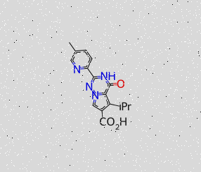 Cc1ccc(-c2nn3cc(C(=O)O)c(C(C)C)c3c(=O)[nH]2)nc1